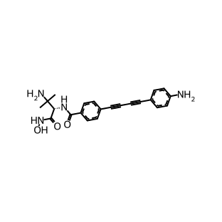 CC(C)(N)[C@H](NC(=O)c1ccc(C#CC#Cc2ccc(N)cc2)cc1)C(=O)NO